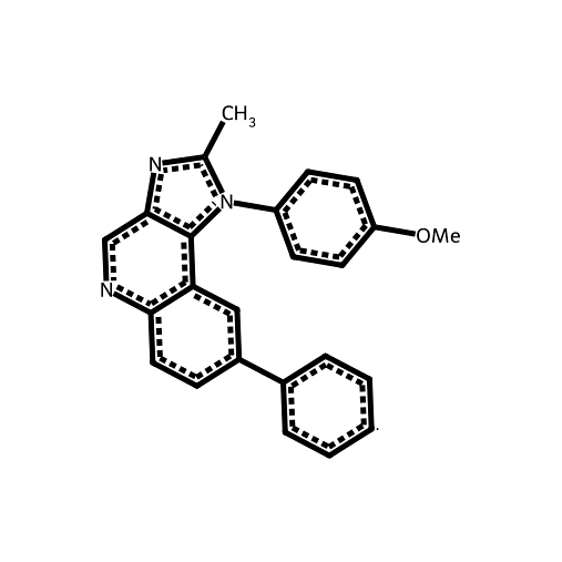 COc1ccc(-n2c(C)nc3cnc4ccc(-c5cc[c]cc5)cc4c32)cc1